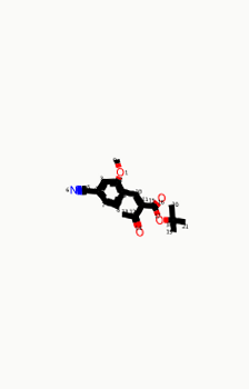 COc1cc(C#N)ccc1/C=C(\C(C)=O)C(=O)OC(C)(C)C